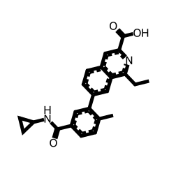 CCc1nc(C(=O)O)cc2ccc(-c3cc(C(=O)NC4CC4)ccc3C)cc12